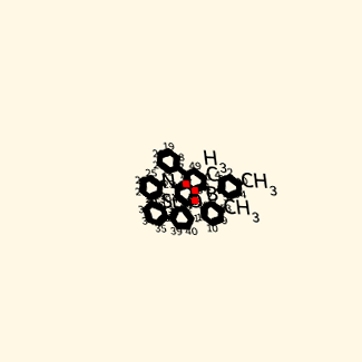 Cc1cc(C)c(B2c3ccccc3Oc3cc(-c4ccccc4N4c5ccccc5[Si](c5ccccc5)(c5ccccc5)c5ccccc54)ccc32)c(C)c1